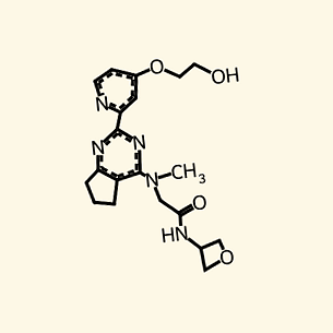 CN(CC(=O)NC1COC1)c1nc(-c2cc(OCCO)ccn2)nc2c1CCC2